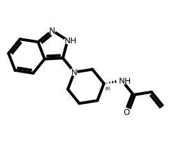 C=CC(=O)N[C@@H]1CCCN(c2[nH]nc3ccccc23)C1